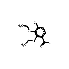 CCOc1c(Cl)ccc(C(=O)Cl)c1OCC